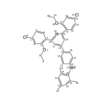 CCOc1cc(Cl)ccc1-c1cc(-c2ccc(Nc3c(C)cc(C)cc3C)cc2)cc(-c2ccc(Cl)cc2OCC)n1